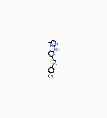 Cc1ccnc(Nc2cccc(-c3cnc(-c4ccc(C#N)cc4)s3)n2)n1